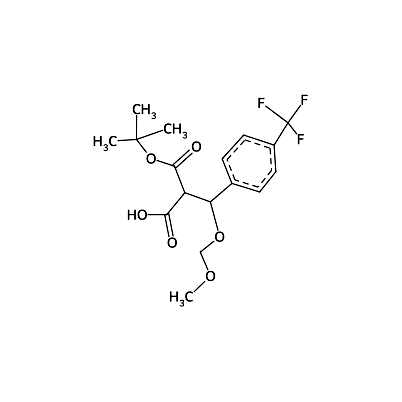 COCOC(c1ccc(C(F)(F)F)cc1)C(C(=O)O)C(=O)OC(C)(C)C